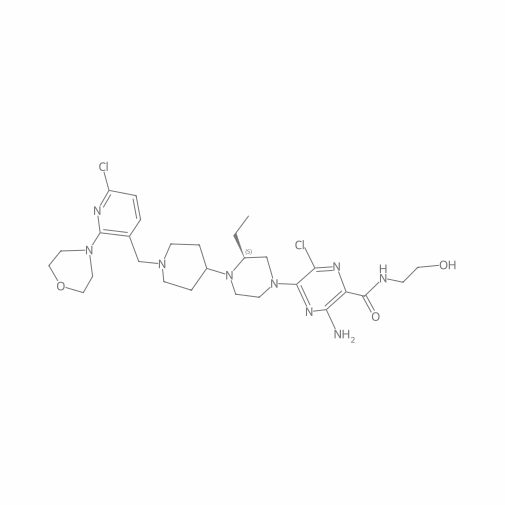 CC[C@H]1CN(c2nc(N)c(C(=O)NCCO)nc2Cl)CCN1C1CCN(Cc2ccc(Cl)nc2N2CCOCC2)CC1